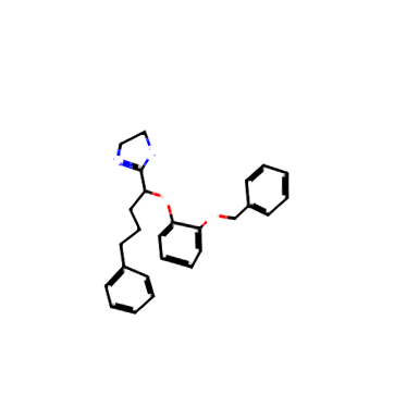 c1ccc(CCCC(Oc2ccccc2OCc2ccccc2)C2=NCCN2)cc1